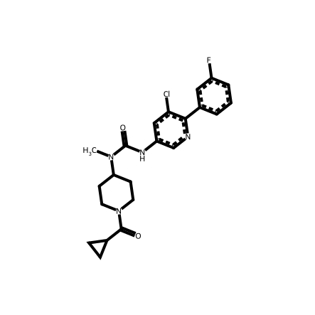 CN(C(=O)Nc1cnc(-c2cccc(F)c2)c(Cl)c1)C1CCN(C(=O)C2CC2)CC1